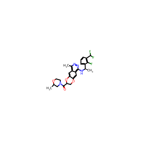 Cc1nnc(N[C@H](C)c2cccc(C(F)F)c2F)c2cc3c(cc12)OC(C(=O)N1CCOC(C)C1)CO3